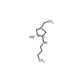 CCCCN[C@@H]1CN(CC)C[C@H]1O